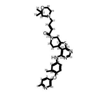 Cc1ccc(Oc2ccc(Nc3ncnc4sc5c(c34)CCN(C(=O)/C=C/CN3CCOC(C)(C)C3)C5)cc2C)cn1